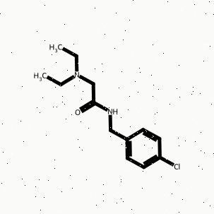 CCN(CC)CC(=O)NCc1ccc(Cl)cc1